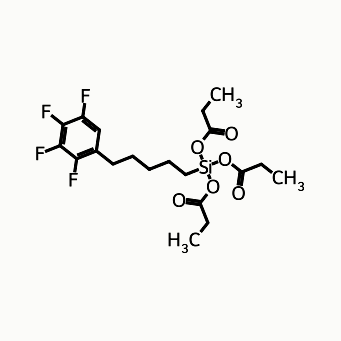 CCC(=O)O[Si](CCCCCc1cc(F)c(F)c(F)c1F)(OC(=O)CC)OC(=O)CC